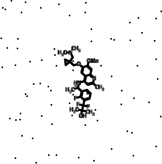 COc1cc2nc(C)cc(N[C@H](C)c3cccc(C(F)(F)C(C)(C)O)c3F)c2cc1OCC1(CN(C)C)CC1